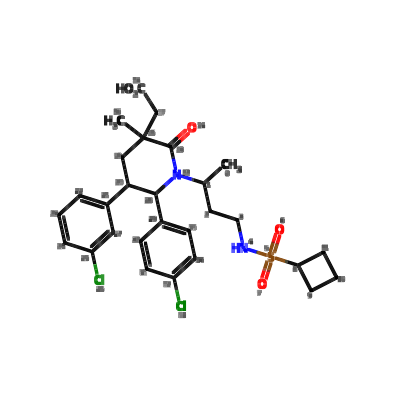 CC(CCNS(=O)(=O)C1CCC1)N1C(=O)C(C)(CC(=O)O)CC(c2cccc(Cl)c2)C1c1ccc(Cl)cc1